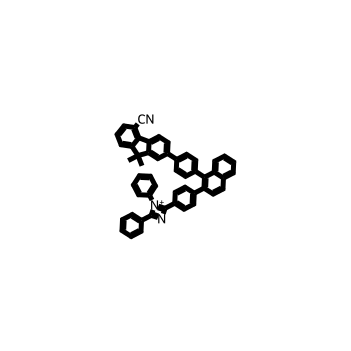 CC1(C)c2cc(-c3ccc(-c4c(-c5ccc(C6=[N+](c7ccccc7)C(c7ccccc7)=N6)cc5)ccc5ccccc45)cc3)ccc2-c2c(C#N)cccc21